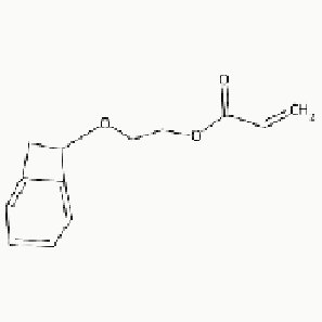 C=CC(=O)OCCOC1Cc2ccccc21